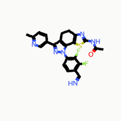 CC(=O)Nc1nc2c(s1)-c1c(c(-c3ccc(C)nc3)nn1-c1ccc(C=N)c(F)c1F)CC2